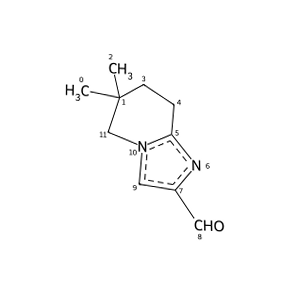 CC1(C)CCc2nc(C=O)cn2C1